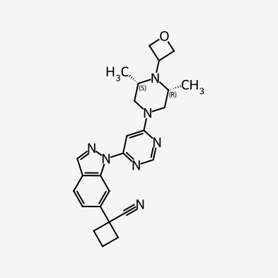 C[C@@H]1CN(c2cc(-n3ncc4ccc(C5(C#N)CCC5)cc43)ncn2)C[C@H](C)N1C1COC1